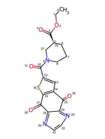 CCOC(=O)[C@H]1CCCN(C(=O)c2cc3c(s2)C(=O)c2nccnc2C3=O)C1